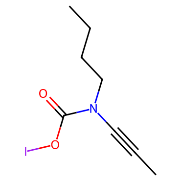 CC#CN(CCCC)C(=O)OI